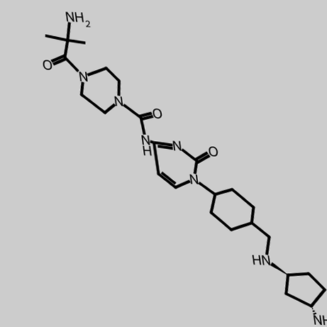 CC(C)(N)C(=O)N1CCN(C(=O)Nc2ccn(C3CCC(CN[C@H]4CC[C@H](N)C4)CC3)c(=O)n2)CC1